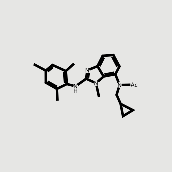 CC(=O)N(CC1CC1)c1cccc2nc(Nc3c(C)cc(C)cc3C)n(C)c12